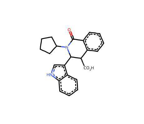 O=C(O)C1c2ccccc2C(=O)N(C2CCCC2)C1c1c[nH]c2ccccc12